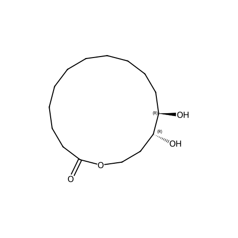 O=C1CCCCCCCCCC[C@@H](O)[C@H](O)CCO1